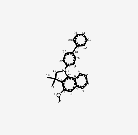 COc1cc2ccccc2c2c1C(C)(C)CN2c1ccc(-c2ccccc2)cc1